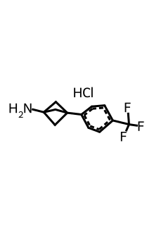 Cl.NC12CC(c3ccc(C(F)(F)F)cc3)(C1)C2